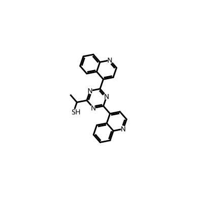 CC(S)c1nc(-c2ccnc3ccccc23)nc(-c2ccnc3ccccc23)n1